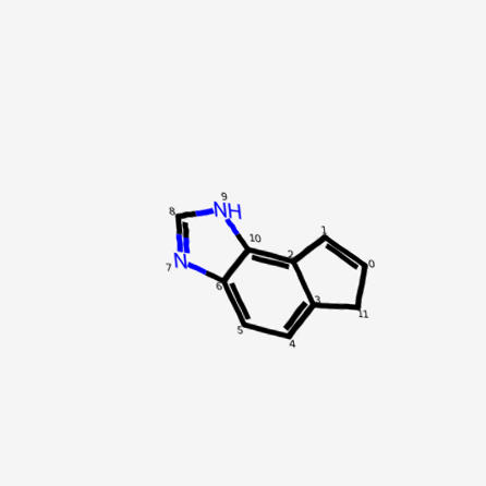 C1=Cc2c(ccc3nc[nH]c23)C1